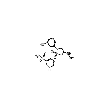 CCCNC1C[C@H](c2cccc(O)c2)S(=O)(=O)C1.NS(=O)(=O)C1=CC=CNS1